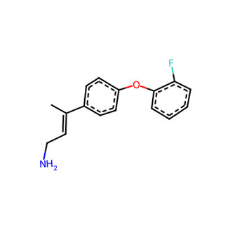 CC(=CCN)c1ccc(Oc2ccccc2F)cc1